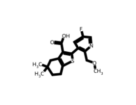 COCc1ncc(F)cc1-c1sc2c(c1C(=O)O)CC(C)(C)CC2